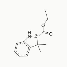 CCOC(=O)[C@H]1Nc2ccccc2C1(C)C